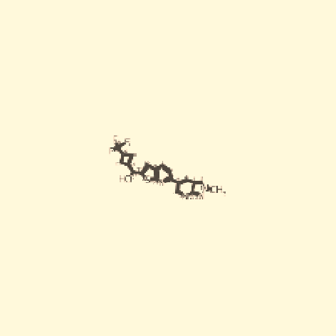 Cn1cc2cc(-c3ccc4cc(C(O)C5CC(C(F)(F)F)C5)sc4n3)cnc2n1